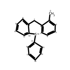 Cc1ccccc1Cc1ccccc1Sc1ccccc1